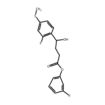 CSc1ccc(C(O)CCC(=O)Oc2cccc(F)c2)c(F)c1